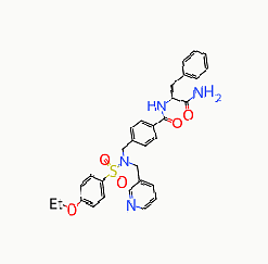 CCOc1ccc(S(=O)(=O)N(Cc2ccc(C(=O)N[C@@H](Cc3ccccc3)C(N)=O)cc2)Cc2cccnc2)cc1